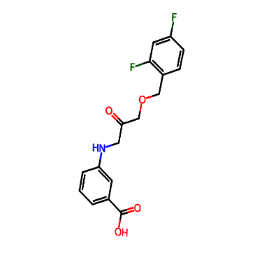 O=C(CNc1cccc(C(=O)O)c1)COCc1ccc(F)cc1F